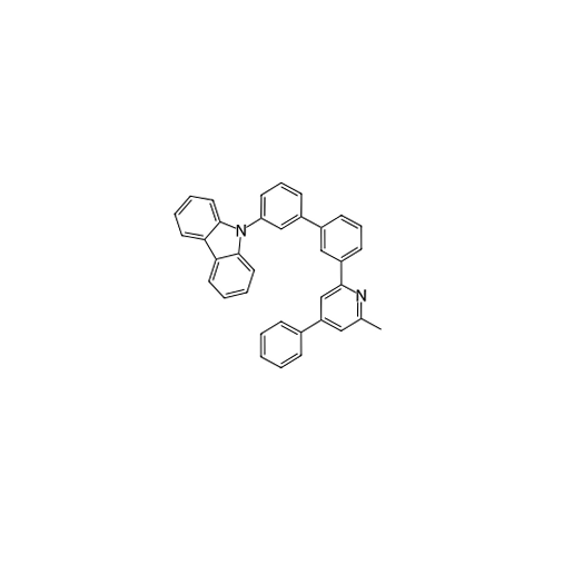 Cc1cc(-c2ccccc2)cc(-c2cccc(-c3cccc(-n4c5ccccc5c5ccccc54)c3)c2)n1